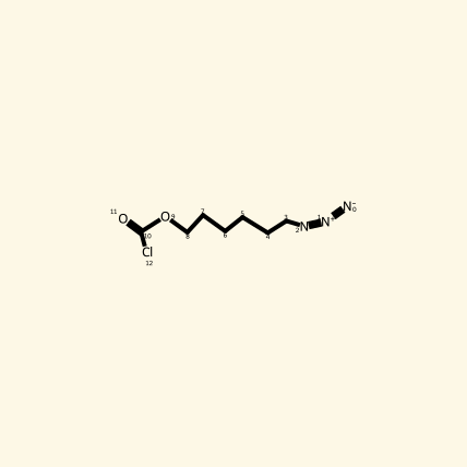 [N-]=[N+]=NCCCCCCOC(=O)Cl